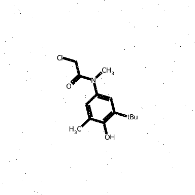 Cc1cc(N(C)C(=O)CCl)cc(C(C)(C)C)c1O